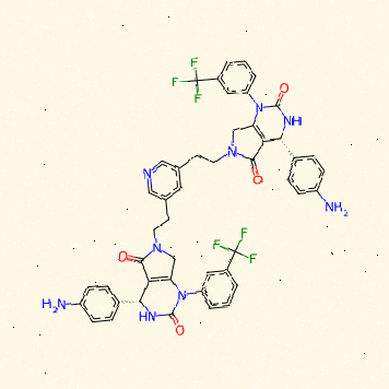 Nc1ccc([C@H]2NC(=O)N(c3cccc(C(F)(F)F)c3)C3=C2C(=O)N(CCc2cncc(CCN4CC5=C(C4=O)[C@@H](c4ccc(N)cc4)NC(=O)N5c4cccc(C(F)(F)F)c4)c2)C3)cc1